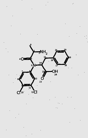 CC(N)C(=O)N(c1ccc(Cl)c(Cl)c1)C(Cc1ccccc1)C(=O)O